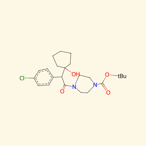 CC(C)(C)OC(=O)N1CCN(C(=O)C(c2ccc(Cl)cc2)C2(O)CCCCC2)CC1